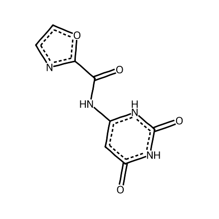 O=C(Nc1cc(=O)[nH]c(=O)[nH]1)c1ncco1